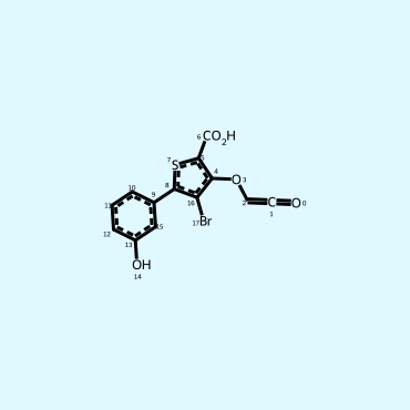 O=C=COc1c(C(=O)O)sc(-c2cccc(O)c2)c1Br